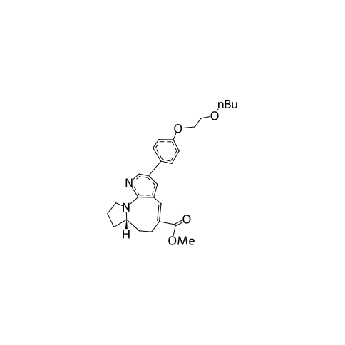 CCCCOCCOc1ccc(-c2cnc3c(c2)/C=C(/C(=O)OC)CC[C@@H]2CCCN32)cc1